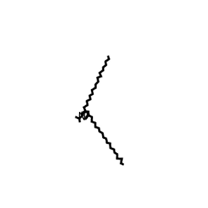 CCCCCCCCCCCCCCCCCCCc1cc(CCCCCCCCCCCCCCCCCCC)c[n+](C(C)C)c1